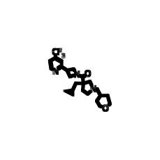 O=C(N1CC(c2cc(C(F)(F)F)ccn2)C1)C1(CC2CC2)CCN(CC2CCOCC2)C1